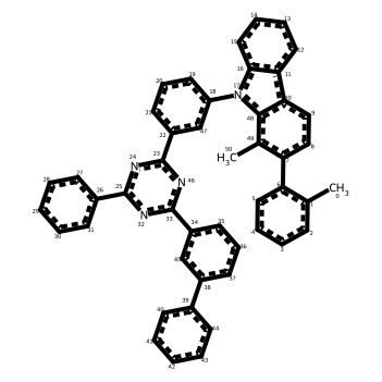 Cc1ccccc1-c1ccc2c3ccccc3n(-c3cccc(-c4nc(-c5ccccc5)nc(-c5cccc(-c6ccccc6)c5)n4)c3)c2c1C